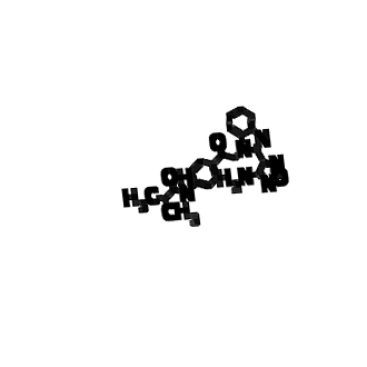 CC(C)C(=O)Nc1ccc(C(=O)Cn2c(-c3nonc3N)nc3ccccc32)cc1